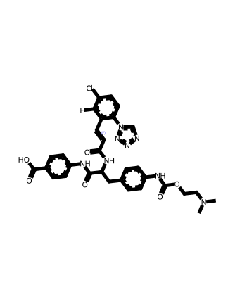 CN(C)CCOC(=O)Nc1ccc(CC(NC(=O)/C=C/c2c(-n3cnnn3)ccc(Cl)c2F)C(=O)Nc2ccc(C(=O)O)cc2)cc1